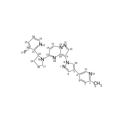 Cc1ccc(-c2cnn(-c3cnn4ccc(N5CCCC5c5ncccc5F)nc34)c2)cn1